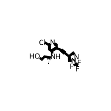 C[C@H](CCO)Nc1cc(Cl)ncc1C#Cc1cnn(C(F)(F)F)c1